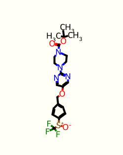 CC(C)(C)OC(=O)N1CCN(c2ncc(OCc3ccc([S+]([O-])C(F)(F)F)cc3)cn2)CC1